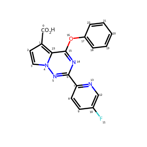 O=C(O)c1ccn2nc(-c3ccc(F)cn3)nc(Oc3ccccc3)c12